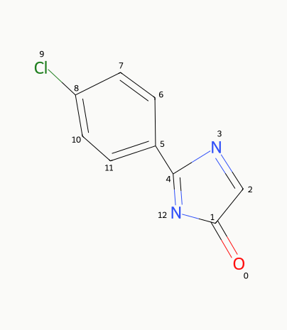 O=C1C=NC(c2ccc(Cl)cc2)=N1